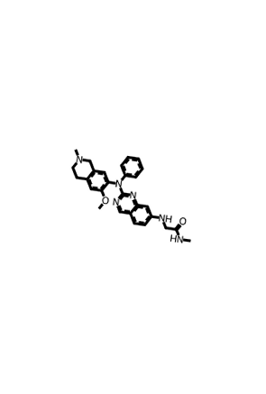 CNC(=O)CNc1ccc2cnc(N(c3ccccc3)c3cc4c(cc3OC)CCN(C)C4)nc2c1